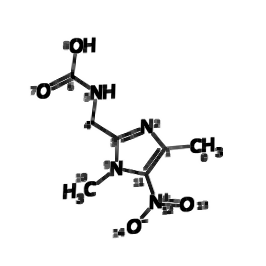 Cc1nc(CNC(=O)O)n(C)c1[N+](=O)[O-]